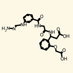 NN=CNc1cccc(C(=O)NCC(=O)NC(CC(=O)O)c2ccccc2OCC(=O)O)c1